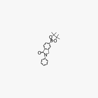 CC1(C)OB(c2ccc3c(c2)CN(c2ccccc2)C3=O)OC1(C)C